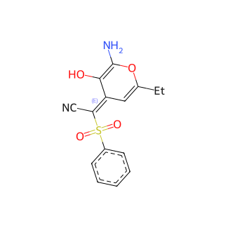 CCC1=C/C(=C(/C#N)S(=O)(=O)c2ccccc2)C(O)=C(N)O1